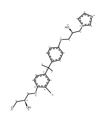 CC(C)(c1ccc(OC[C@@H](O)Cn2ccnc2)cc1)c1ccc(OC[C@@H](O)CCl)c(I)c1